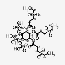 CCS(=O)(=O)CCC(=O)O[C@@H]1[C@@H](OC(=O)CCS(=O)(=O)CC)[C@H](OP(=O)(O)O)[C@@H](OP(=O)(O)O)[C@@H](OP(=O)(O)O)[C@H]1OC(=O)CCS(=O)(=O)CC